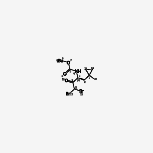 CC1(C[C@H](NC(=O)OC(C)(C)C)C(=O)C(Br)Br)CC1